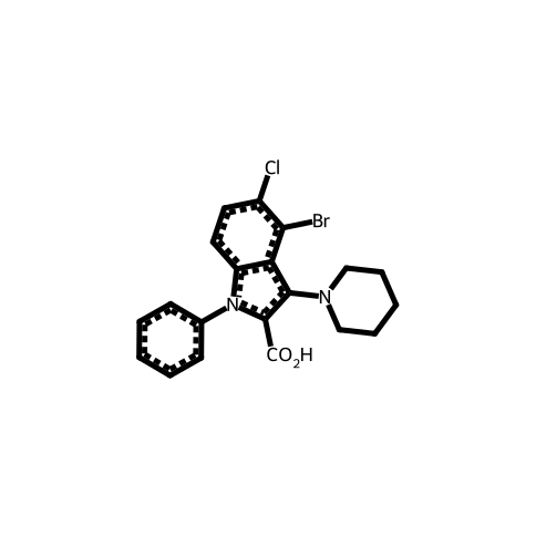 O=C(O)c1c(N2CCCCC2)c2c(Br)c(Cl)ccc2n1-c1ccccc1